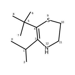 CC(C)C1=C(C(C)(C)C)SCCN1